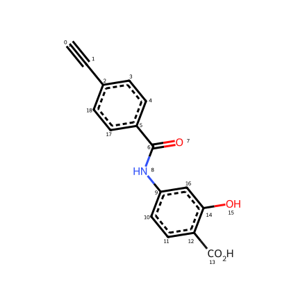 [C]#Cc1ccc(C(=O)Nc2ccc(C(=O)O)c(O)c2)cc1